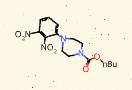 CCCCOC(=O)N1CCN(c2cccc([N+](=O)[O-])c2[N+](=O)[O-])CC1